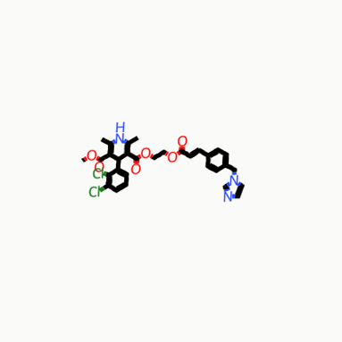 COC(=O)C1=C(C)NC(C)=C(C(=O)OCCOC(=O)/C=C/c2ccc(Cn3ccnc3)cc2)C1c1cccc(Cl)c1Cl